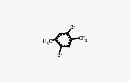 Cc1cc(Br)c(C(F)(F)F)cc1Br